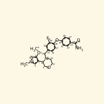 COc1nn(C)cc1C1COCCN1Cc1ccc(Oc2ccc(C(N)=O)cc2)c(F)c1